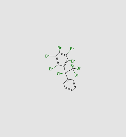 ClC(c1ccccc1)(c1c(Br)c(Br)c(Br)c(Br)c1Br)C(Br)(Br)Br